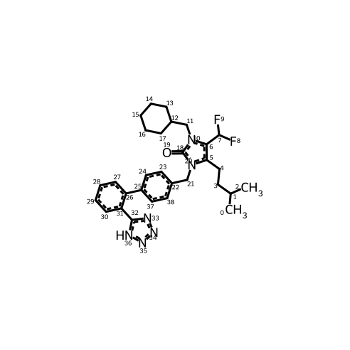 CC(C)CCc1c(C(F)F)n(CC2CCCCC2)c(=O)n1Cc1ccc(-c2ccccc2-c2nnn[nH]2)cc1